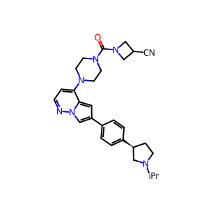 CC(C)N1CC[C@H](c2ccc(-c3cc4c(N5CCN(C(=O)N6CC(C#N)C6)CC5)ccnn4c3)cc2)C1